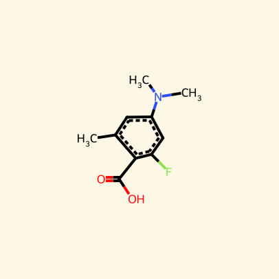 Cc1cc(N(C)C)cc(F)c1C(=O)O